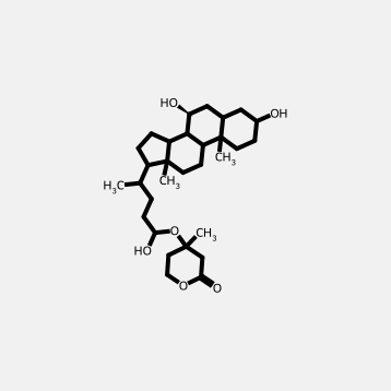 CC(CCC(O)OC1(C)CCOC(=O)C1)C1CCC2C3C(CCC12C)C1(C)CCC(O)CC1C[C@@H]3O